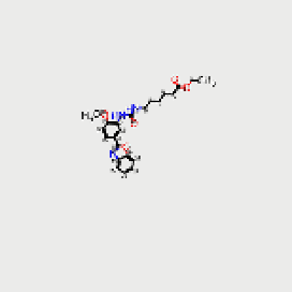 CCOC(=O)CCCCCNC(=O)Nc1cc(-c2nc3ccccc3o2)ccc1OC